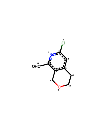 O=Cc1nc(Cl)cc2c1COCC2